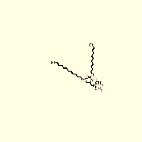 CC/C=C/C/C=C/C/C=C/CCCSSCC(CN(C)C)NC(=O)OCC/C=C/C/C=C/C/C=C/CC